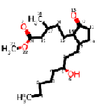 CCCCCC(O)CCC1CCC(=O)C1CCC(C)CC(=O)OC